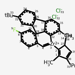 CC1=[C](/[Zr+2](=[CH]/c2ccc(F)cc2)[c]2c(C(C)(C)C)ccc3c2Cc2cc(C(C)(C)C)ccc2-3)C(C)C=C1C(C)C.[Cl-].[Cl-]